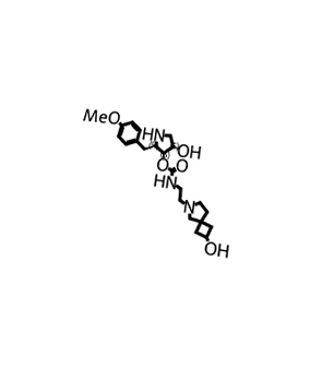 COc1ccc(C[C@H]2NC[C@H](O)[C@H]2OC(=O)NCCN2CCC3(CC(O)C3)C2)cc1